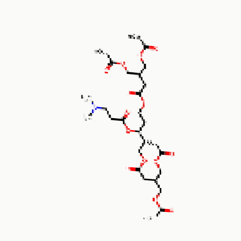 CCCCCCCCC(=O)OCC(COC(=O)CCCCCCCC)CC(=O)OCCC(CCOC(=O)CC(COC(=O)CCCCCCCC)COC(=O)CCCCCCCC)OC(=O)CCN(C)C